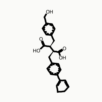 O=C(O)[C@@H](Cc1ccc(CO)cc1)[C@H](Cc1ccc(C2=CCCC=C2)cc1)C(=O)O